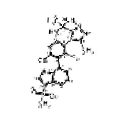 Cc1nnc2n1-c1c(cc(Cl)c(-c3cccc4c3ccn4S(C)(=O)=O)c1F)NC2(C)C